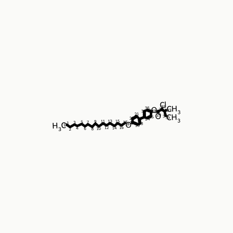 CCCCCCCCCCCCCCCCCCOc1ccc(-c2ccc(OC(=O)C(Cl)C(C)CC)cc2)cc1